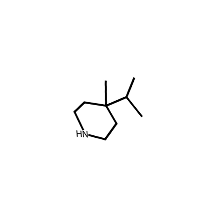 CC(C)C1(C)CCNCC1